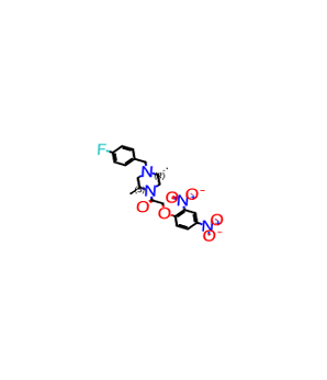 C[C@@H]1CN(C(=O)COc2ccc([N+](=O)[O-])cc2[N+](=O)[O-])[C@@H](C)CN1Cc1ccc(F)cc1